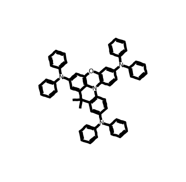 CC1(C)c2cc(N(c3ccccc3)c3ccccc3)ccc2N2c3ccc(N(c4ccccc4)c4ccccc4)cc3Oc3cc(N(c4ccccc4)c4ccccc4)cc1c32